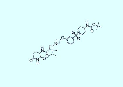 CC(C)[C@]1(C)C(C(=O)NC2CCC(=O)NC2=O)=CC1N1CC(Oc2cccc(S(=O)(=O)N3CCC(NC(=O)OC(C)(C)C)CC3)c2)C1